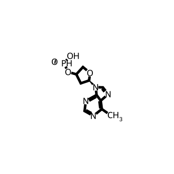 Cc1ncnc2c1ncn2[C@H]1CC(O[PH](=O)O)CO1